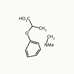 CC(Oc1ccccc1)C(=O)O.CNC